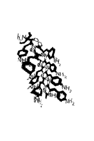 CCC(N)(CC)C(=O)C(Cc1ccc(N)cc1)NC(=O)C(Cc1ccc(N)cc1)NC(=O)C(Cc1ccc(N)cc1)NC(=O)C(Cc1ccc(N)cc1)NC(=O)C(Cc1ccc(N)cc1)NC(=O)C(Cc1ccc(N)cc1)NC(=O)C(Cc1ccc(N)cc1)NC(=O)C(Cc1ccc(N)cc1)NC(C)=O